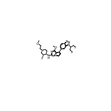 COCCN1CC[C@@H](Nc2nc(OC)c3c(-c4ccc5nnn(C(CF)CF)c5c4)ccn3n2)[C@@H](F)C1